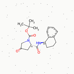 CC(C)(C)OC(=O)N1CC(=O)C[C@H]1C(=O)N[C@@H]1CCCc2ccccc21